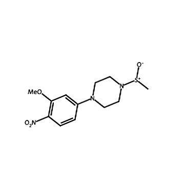 COc1cc(N2CCN([S+](C)[O-])CC2)ccc1[N+](=O)[O-]